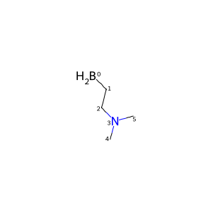 BCCN(C)C